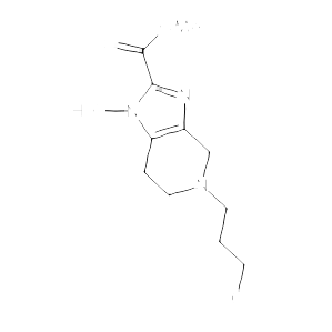 COC(=O)c1nc2c(n1C)CCN(CCCC(F)(F)F)C2